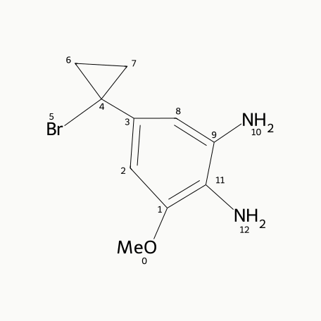 COc1cc(C2(Br)CC2)cc(N)c1N